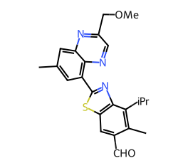 COCc1cnc2c(-c3nc4c(C(C)C)c(C)c(C=O)cc4s3)cc(C)cc2n1